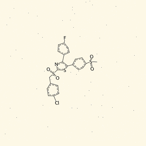 CS(=O)(=O)c1ccc(-c2sc(S(=O)(=O)Cc3ccc(Cl)cc3)nc2-c2ccc(F)cc2)cc1